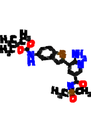 CC(C)(C)OC(=O)Nc1ccc2sc(-c3cc(C(=O)N=S(C)(C)=O)cnc3N)cc2c1